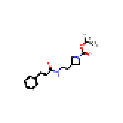 O=C(C=Cc1ccccc1)NCCC1CN(C(=O)OC(C(F)(F)F)C(F)(F)F)C1